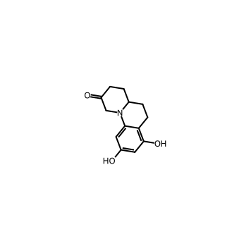 O=C1CCC2CCc3c(O)cc(O)cc3N2C1